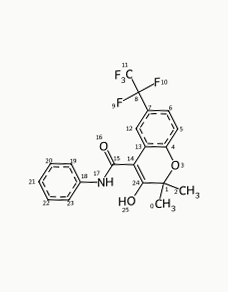 CC1(C)Oc2ccc(C(F)(F)C(F)(F)F)cc2C(C(=O)Nc2ccccc2)=C1O